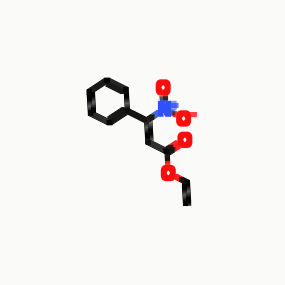 C=COC(=O)C=C(c1ccccc1)[N+](=O)[O-]